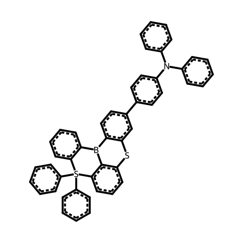 c1ccc(N(c2ccccc2)c2ccc(-c3ccc4c(c3)Sc3cccc5c3B4c3ccccc3S5(c3ccccc3)c3ccccc3)cc2)cc1